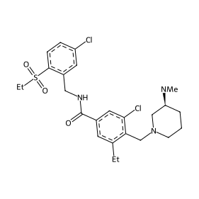 CCc1cc(C(=O)NCc2cc(Cl)ccc2S(=O)(=O)CC)cc(Cl)c1CN1CCC[C@H](NC)C1